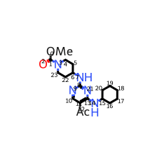 COC(=O)N1CCC(Nc2ncc(C(C)=O)c(NC3CCCCC3)n2)CC1